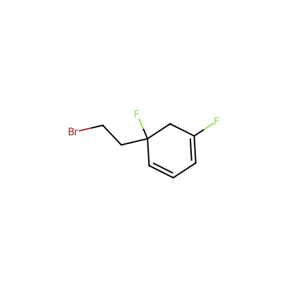 FC1=CC=CC(F)(CCBr)C1